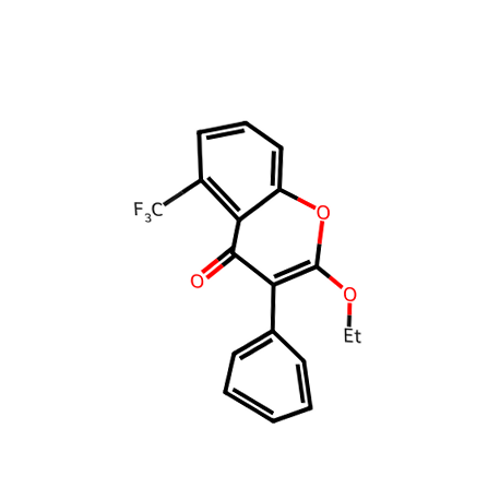 CCOc1oc2cccc(C(F)(F)F)c2c(=O)c1-c1ccccc1